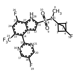 CN(C12CC(F)(C1)C2)S(=O)(=O)c1cc2c(-c3ncc(F)cn3)c(C(F)(F)F)cc(F)c2[nH]1